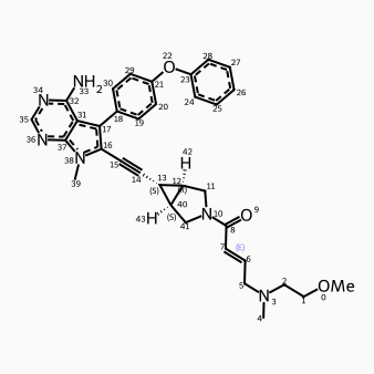 COCCN(C)C/C=C/C(=O)N1C[C@@H]2[C@@H](C#Cc3c(-c4ccc(Oc5ccccc5)cc4)c4c(N)ncnc4n3C)[C@@H]2C1